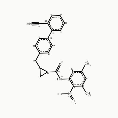 Cc1cc(C)c([N+](=O)[O-])c(NC(=O)C2CC2Cc2ccc(-c3ccccc3C#N)cc2)n1